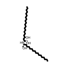 CCCCCCCCCCCCCCCCC[C@H](O)CC(=O)N[C@@H](CO)[C@H](O)CCCCCCCCCCCCCCC